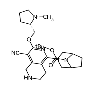 CN1CCC[C@H]1COc1nc(N2CC3CCC(C2)N3C(=O)OC(C)(C)C)c2c(c1C#N)CNCC2